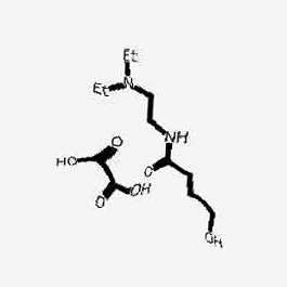 CCN(CC)CCNC(=O)CCCO.O=C(O)C(=O)O